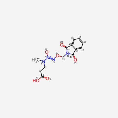 CN(CCC(=O)O)/[N+]([O-])=N/OCN1C(=O)c2ccccc2C1=O